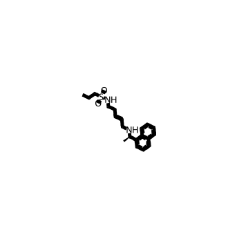 CCCS(=O)(=O)NCC/C=C/CN[C@H](C)c1cccc2ccccc12